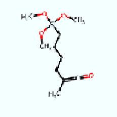 CO[Si](CCCCC(C)=C=O)(OC)OC